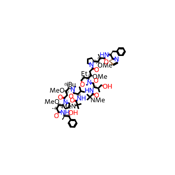 CC[C@H](COCC(C)[C@H](NC(=O)C(C)(C)NC)C(=O)N(C)[C@@H]([C@@H](C)CC)[C@@H](CC(=O)N1CCC[C@H]1[C@H](OC)[C@@H](C)C(=O)N[C@H](C)[C@@H](O)c1ccccc1)OC)[C@@H]([C@@H](CC(=O)N1CCC[C@H]1[C@H](OC)[C@@H](C)C(=O)N[C@@H](Cc1ccccc1)c1nccs1)OC)N(C)C(=O)[C@@H](NC(=O)C(C)(C)NC)C(C)CO